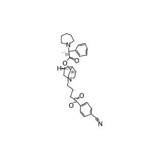 C[C@@](C(=O)O[C@H]1C[N+]2(CCCS(=O)(=O)c3ccc(C#N)cc3)CCC1CC2)(c1ccccc1)N1CCCCC1